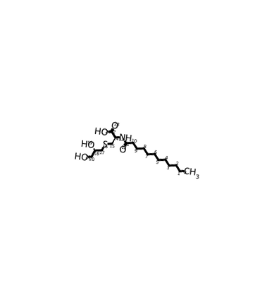 CCCCCCCCCCCC(=O)N[C@@H](CSC[C@H](O)CO)C(=O)O